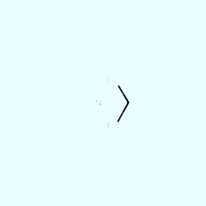 CCCCCCCCC.F.N